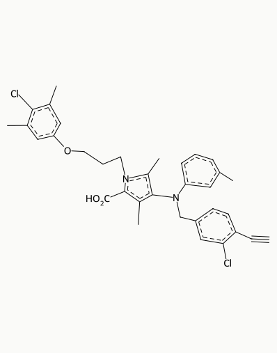 C#Cc1ccc(CN(c2cccc(C)c2)c2c(C)c(C(=O)O)n(CCCOc3cc(C)c(Cl)c(C)c3)c2C)cc1Cl